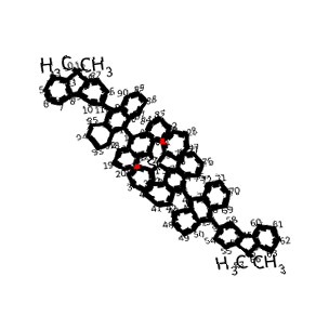 CC1(C)c2ccccc2-c2cc(-c3c4c(c(-c5c6ccccc6c([Si](c6ccccc6)(c6ccccc6)c6c7ccccc7c(-c7c8ccccc8c(-c8ccc9c(c8)-c8ccccc8C9(C)C)c8ccccc78)c7ccccc67)c6ccccc56)c5ccccc35)CC=CC4)ccc21